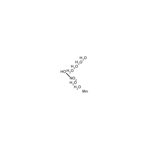 O.O.O.O.O.O.O=[N+]([O-])O.[Mn]